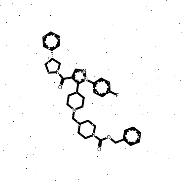 O=C(OCc1ccccc1)N1CCC(CN2CCC(c3c(C(=O)N4CC[C@H](c5ccccc5)C4)cnn3-c3ccc(F)cc3)CC2)CC1